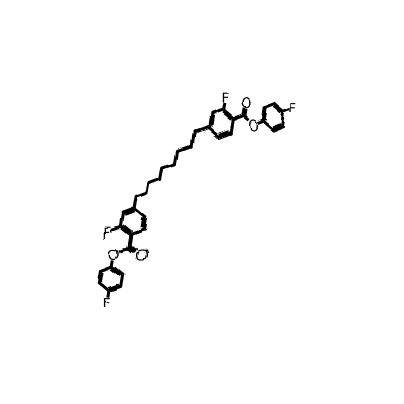 O=C(Oc1ccc(F)cc1)c1ccc(CCCCCCCCCc2ccc(C(=O)Oc3ccc(F)cc3)c(F)c2)cc1F